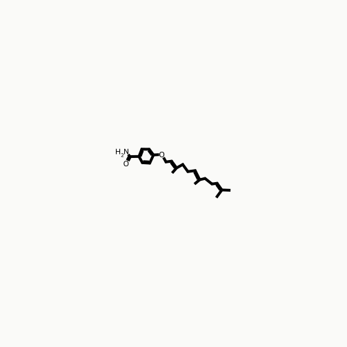 CC(C)=CCC/C(C)=C/CC/C(C)=C/COc1ccc(C(N)=O)cc1